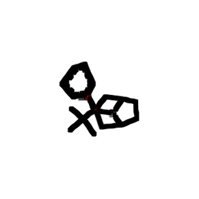 CC(C)(C)C1(O)CC2CCC(C1)N2Cc1ccccc1